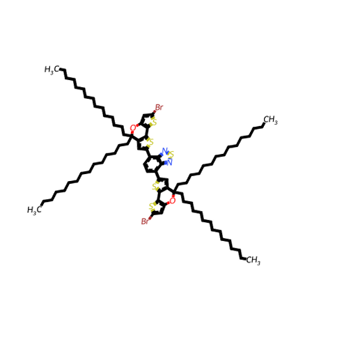 CCCCCCCCCCCCCCCC1(CCCCCCCCCCCCCCC)Oc2cc(Br)sc2-c2sc(-c3ccc(-c4cc5c(s4)-c4sc(Br)cc4OC5(CCCCCCCCCCCCCCC)CCCCCCCCCCCCCCC)c4nsnc34)cc21